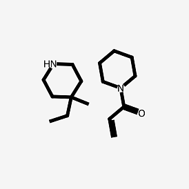 C=CC(=O)N1CCCCC1.CCC1(C)CCNCC1